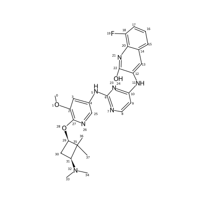 COc1cc(Nc2nccc(Nc3cc4cccc(F)c4nc3O)n2)cnc1O[C@@H]1C[C@H](N(C)C)C1(C)C